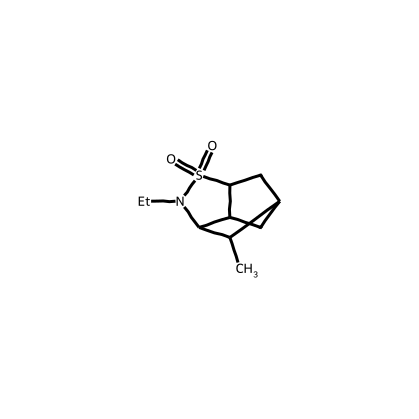 CCN1C2C(C)C3CC2C(C3)S1(=O)=O